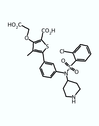 Cc1c(-c2cccc(N(C3CCNCC3)S(=O)(=O)c3ccccc3Cl)c2)sc(C(=O)O)c1OCC(=O)O